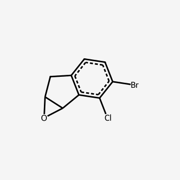 Clc1c(Br)ccc2c1C1OC1C2